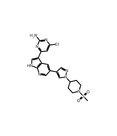 CCc1cc(-c2c[nH]c3ncc(-c4cnn(C5CCN(S(C)(=O)=O)CC5)c4)cc23)nc(N)n1